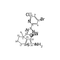 CC1(c2nc(-c3cc(Br)cc(Cl)n3)no2)CCCc2sc(N)c(C#N)c21